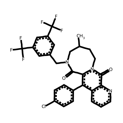 CC1CCn2c(c(-c3ccc(Cl)cc3)c3cccnc3c2=O)C(=O)N(Cc2cc(C(F)(F)F)cc(C(F)(F)F)c2)C1